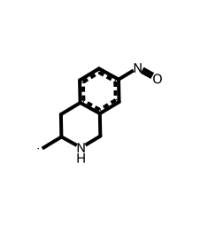 [CH2]C1Cc2ccc(N=O)cc2CN1